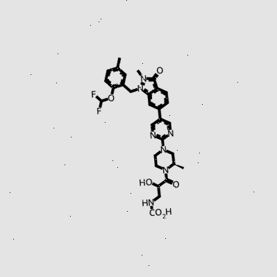 Cc1ccc(OC(F)F)c(Cn2c3cc(-c4cnc(N5CCN(C(=O)C(O)CNC(=O)O)[C@H](C)C5)nc4)ccc3c(=O)n2C)c1